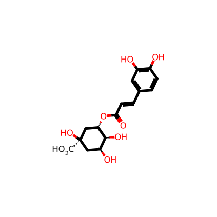 O=C(/C=C/c1ccc(O)c(O)c1)O[C@H]1C[C@@](O)(C(=O)O)C[C@H](O)[C@@H]1O